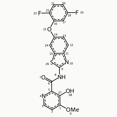 COc1ccnc(C(=O)Nc2nc3ccc(Oc4cc(F)ccc4F)cc3s2)c1O